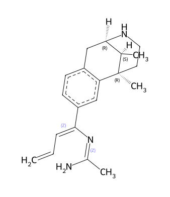 C=C/C=C(\N=C(\C)N)c1ccc2c(c1)[C@]1(C)CCN[C@H](C2)[C@H]1C